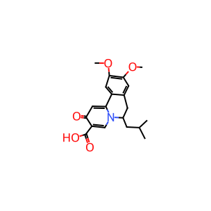 COc1cc2c(cc1OC)-c1cc(=O)c(C(=O)O)cn1C(CC(C)C)C2